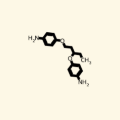 CCC(CCOc1ccc(N)cc1)Oc1ccc(N)cc1